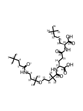 CC(C)(C)CCC(=O)NCCC(C)(C)OCCC(C)(C)C(=O)N[C@@H](CCC(=O)N[C@@H](CSCC(C)(C)C)C(=O)O)C(=O)O